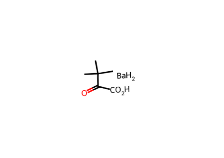 CC(C)(C)C(=O)C(=O)O.[BaH2]